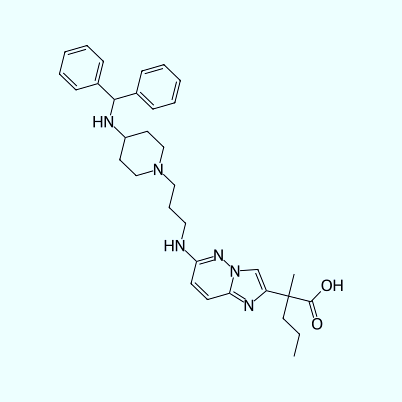 CCCC(C)(C(=O)O)c1cn2nc(NCCCN3CCC(NC(c4ccccc4)c4ccccc4)CC3)ccc2n1